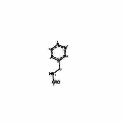 O=CNCc1ccnnc1